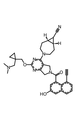 C#Cc1cccc2cc(O)cc(C(=O)N3Cc4nc(OCC5(CN(C)C)CC5)nc(N5CC[C@@H]6C(C#N)[C@@H]6CC5)c4C3)c12